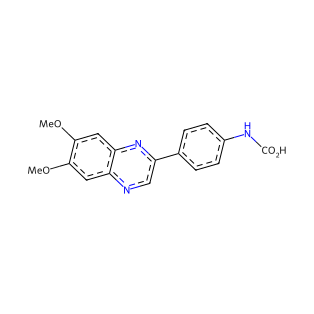 COc1cc2ncc(-c3ccc(NC(=O)O)cc3)nc2cc1OC